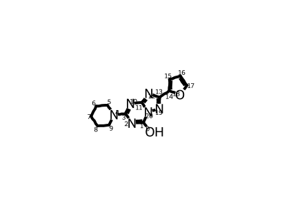 Oc1nc(N2CCCCC2)nc2nc(-c3ccco3)nn12